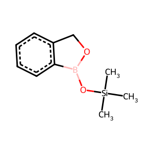 C[Si](C)(C)OB1OCc2ccccc21